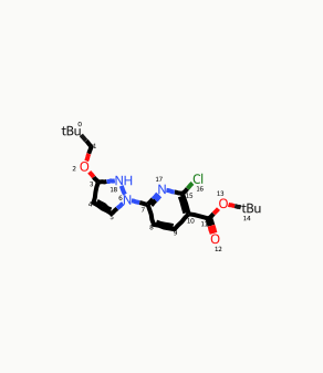 CC(C)(C)COC1C=CN(c2ccc(C(=O)OC(C)(C)C)c(Cl)n2)N1